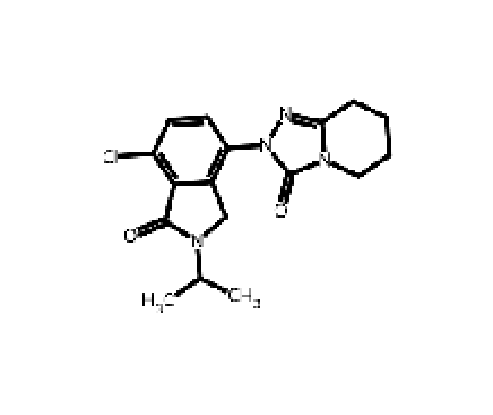 CC(C)N1Cc2c(-n3nc4n(c3=O)CCCC4)ccc(Cl)c2C1=O